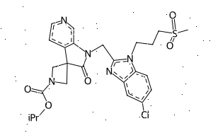 CC(C)OC(=O)N1CC2(C1)C(=O)N(Cc1nc3cc(Cl)ccc3n1CCCS(C)(=O)=O)c1cnccc12